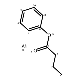 CCCC(=O)Oc1ccccc1.[Al]